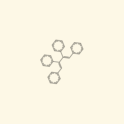 C(=C(\C(=C\c1ccccc1)c1ccccc1)c1ccccc1)/c1ccccc1